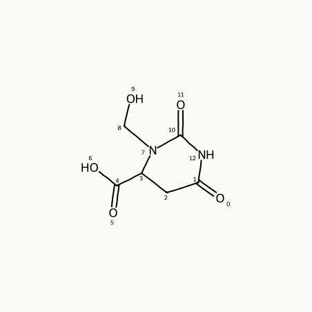 O=C1CC(C(=O)O)N(CO)C(=O)N1